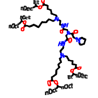 CCCCCCCCCCC(CC)OC(=O)CCCCCN(CCCCCCCC(=O)OC(CCCCCCCC)CCCCCCCC)CCNC(=O)CN(CC(=O)NCCN(CCCCCCCC(=O)OC(CCCCCCCC)CCCCCCCC)CCCCCC(=O)OC(CC)CCCCCCCCCC)C(=O)CN1CCCC1